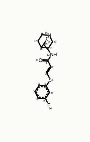 O=C(/C=C/Sc1cccc(F)c1)NC1CN2CCC1CC2